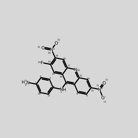 Nc1ccc(Nc2c3ccc([N+](=O)[O-])cc3nc3cc([N+](=O)[O-])c(F)cc23)cc1